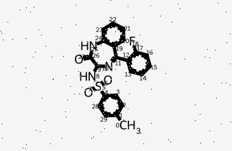 Cc1ccc(S(=O)(=O)NC2N=C(c3ccccc3F)c3ccccc3NC2=O)cc1